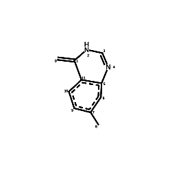 C=C1NC=Nc2cc(C)ccc21